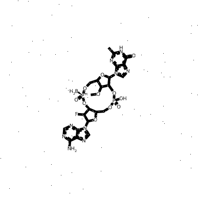 B[P@@]1(=O)OCC2OC(n3cnc4c(=O)[nH]c(C)nc43)C(OP(=O)(O)OCC3OC(n4cnc5c(N)ncnc54)C(F)C3O1)C2OC